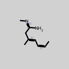 C/C=C\C=C(/C)C/C(N)=N\C